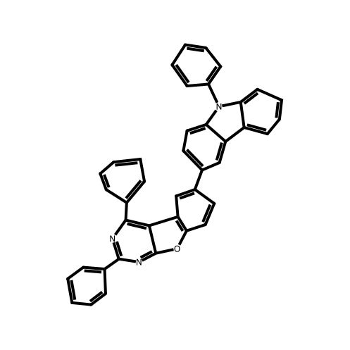 c1ccc(-c2nc(-c3ccccc3)c3c(n2)oc2ccc(-c4ccc5c(c4)c4ccccc4n5-c4ccccc4)cc23)cc1